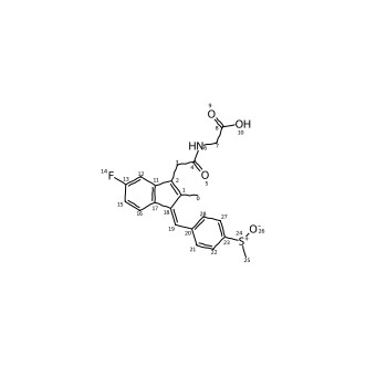 CC1=C(CC(=O)NCC(=O)O)c2cc(F)ccc2/C1=C/c1ccc([S+](C)[O-])cc1